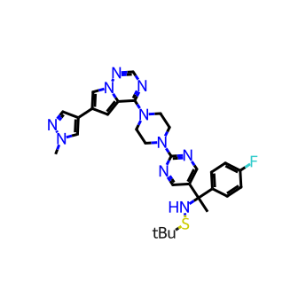 Cn1cc(-c2cc3c(N4CCN(c5ncc(C(C)(NSC(C)(C)C)c6ccc(F)cc6)cn5)CC4)ncnn3c2)cn1